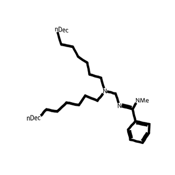 CCCCCCCCCCCCCCCCN(CCCCCCCCCCCCCCCC)CN=C(NC)c1ccccc1